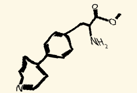 COC(=O)C(N)Cc1ccc(-c2ccncc2)cc1